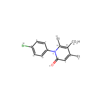 CCc1cc(=O)n(-c2ccc(Br)cc2)c(CC)c1C(=O)O